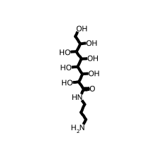 NCCCNC(=O)C(O)C(O)C(O)C(O)C(O)C(O)CO